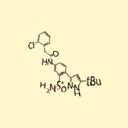 CC(C)(C)c1cc(-c2ccc(NC(=O)Cc3ccccc3Cl)cc2[S+](N)[O-])n[nH]1